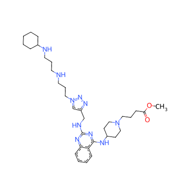 COC(=O)CCCN1CCC(Nc2nc(NCc3cn(CCCNCCCNC4CCCCC4)nn3)nc3ccccc23)CC1